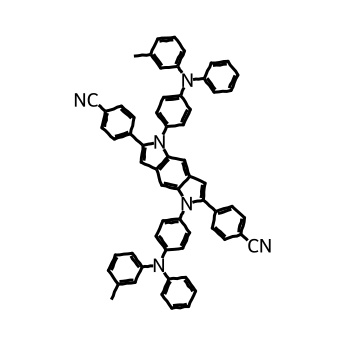 Cc1cccc(N(c2ccccc2)c2ccc(-n3c(-c4ccc(C#N)cc4)cc4cc5c(cc(-c6ccc(C#N)cc6)n5-c5ccc(N(c6ccccc6)c6cccc(C)c6)cc5)cc43)cc2)c1